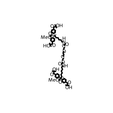 COC(=O)[N+](CCCCCCNC(=O)OCCOCCOCCOC(=O)NCCCCCC[N+](C(=O)OC)(c1ccc(C(=O)C(C)(C)O)cc1)c1ccc(C(=O)C(C)(C)O)cc1)(c1ccc(C(=O)C(C)(C)O)cc1)c1ccc(C(=O)C(C)(C)O)cc1